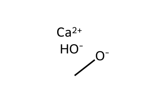 C[O-].[Ca+2].[OH-]